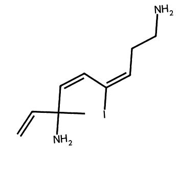 C=CC(C)(N)/C=C\C(I)=C/CCN